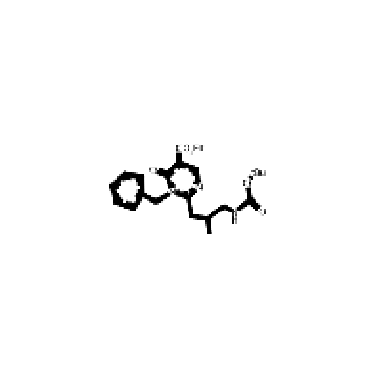 CCOC(=O)c1cnc(CC(C)CNC(=O)OC(C)(C)C)n(Cc2ccccc2)c1=O